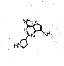 Nc1csc2c(N)nc(C3CCNC3)nc12